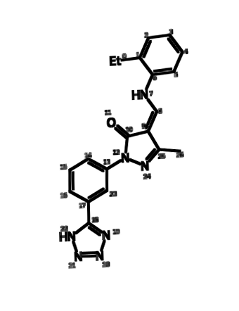 CCc1ccccc1N/C=C1\C(=O)N(c2cccc(-c3nnn[nH]3)c2)N=C1C